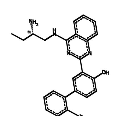 CC[C@H](N)CNc1nc(-c2cc(-c3ccccc3C#N)ccc2O)nc2ccccc12